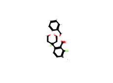 N#Cc1ccc(C2(F)CCOCC2)c(C(=O)OCc2ccccc2)c1F